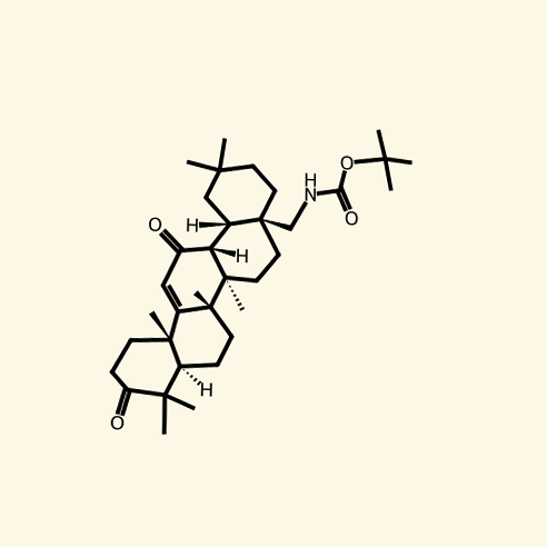 CC1(C)CC[C@]2(CNC(=O)OC(C)(C)C)CC[C@]3(C)[C@H](C(=O)C=C4[C@@]5(C)CCC(=O)C(C)(C)[C@@H]5CC[C@]43C)[C@@H]2C1